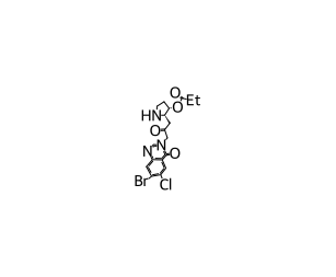 CCC(=O)O[C@H]1CCN[C@@H]1CC(=O)Cn1cnc2cc(Br)c(Cl)cc2c1=O